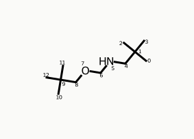 CC(C)(C)CNCOCC(C)(C)C